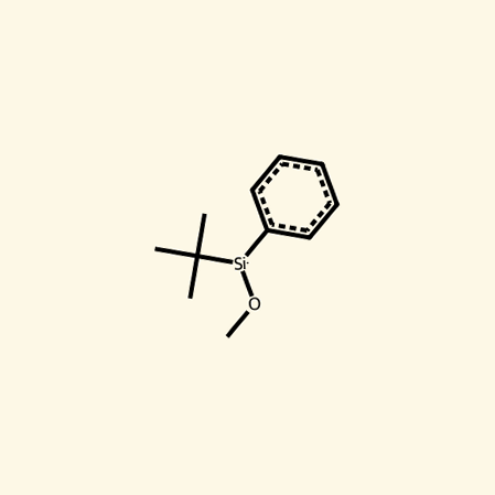 CO[Si](c1ccccc1)C(C)(C)C